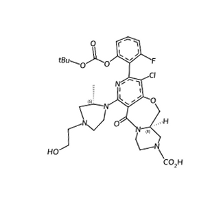 C[C@H]1CN(CCO)CCN1c1nc(-c2c(F)cccc2OC(=O)OC(C)(C)C)c(Cl)c2c1C(=O)N1CCN(C(=O)O)C[C@@H]1CO2